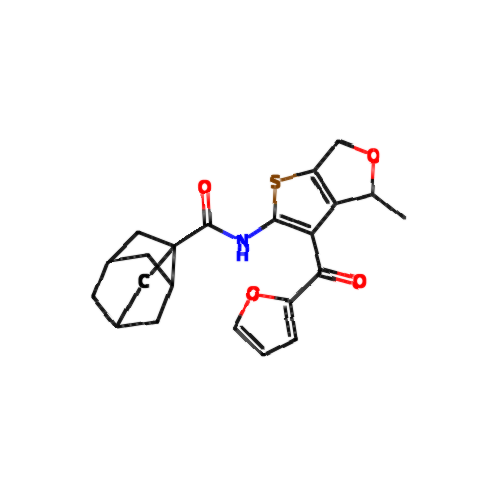 CC1OCc2sc(NC(=O)C34CC5CC(CC3C5)C4)c(C(=O)c3ccco3)c21